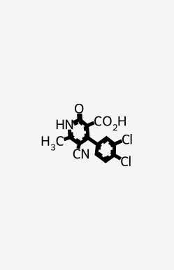 Cc1[nH]c(=O)c(C(=O)O)c(-c2ccc(Cl)c(Cl)c2)c1C#N